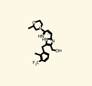 Cc1c(Cc2[nH]c(/C=C\C(=N)N3CCOC(C)C3)nc2CO)cccc1C(F)(F)F